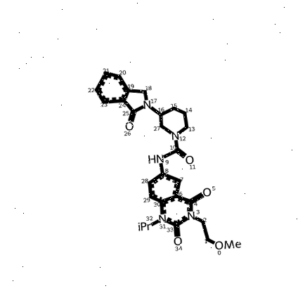 COCCn1c(=O)c2cc(NC(=O)N3CCCC(N4Cc5ccccc5C4=O)C3)ccc2n(C(C)C)c1=O